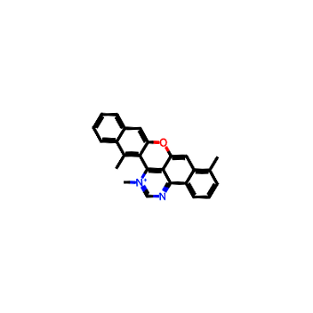 Cc1c2c(cc3ccccc13)Oc1cc3c(C)cccc3c3nc[n+](C)c-2c13